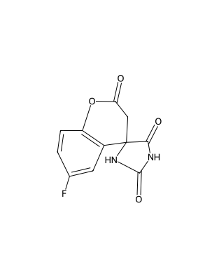 O=C1NC(=O)C2(CC(=O)Oc3ccc(F)cc32)N1